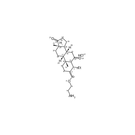 CCC1/C(=N/OCCN)CC[C@@]2(C)C1C(=O)C[C@@H]1[C@H]2CC[C@]2(C)C(=O)CC[C@@H]12.Cl